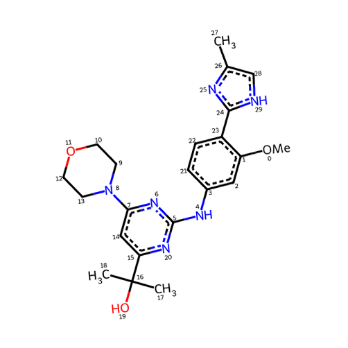 COc1cc(Nc2nc(N3CCOCC3)cc(C(C)(C)O)n2)ccc1-c1nc(C)c[nH]1